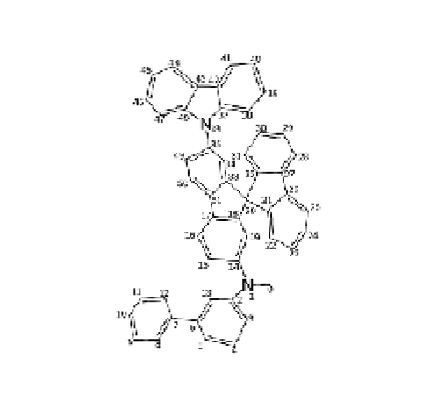 CN(c1cccc(-c2ccccc2)c1)c1ccc2c(c1)C1(c3ccccc3-c3ccccc31)c1cc(-n3c4ccccc4c4ccccc43)ccc1-2